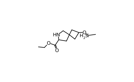 CCOC(=O)C1CC2(CN1)CC(O[SiH2]C)C2